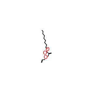 C=CCOCC(=C)C(=O)OCCCCCCCCC